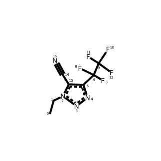 CCn1nnc(C(F)(F)C(F)(F)F)c1C#N